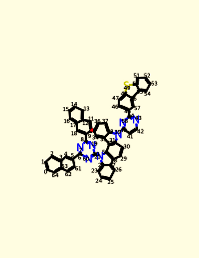 c1ccc2cc(-c3nc(-c4ccc5ccccc5c4)nc(-n4c5ccccc5c5ccc6c(c7ccccc7n6-c6ccnc(-c7ccc8sc9ccccc9c8c7)n6)c54)n3)ccc2c1